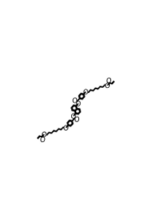 C=CC(=O)OCCCCCCCCOc1ccc(C(=O)Oc2cccc3c(OC(=O)c4ccc(OCCCCCCCCOC(=O)C=C)cc4)cccc23)cc1